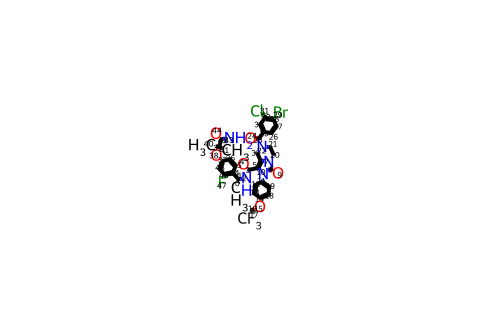 C[C@@H](NC(=O)c1c2n(c(=O)n1-c1ccc(OCC(F)(F)F)cc1)CCN(C(=O)c1ccc(Br)c(Cl)c1)C2)c1ccc(OC(C)(C)C(N)=O)cc1F